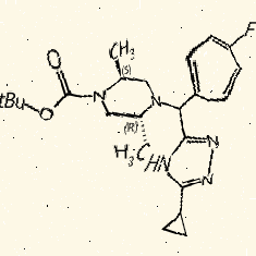 C[C@@H]1CN(C(=O)OC(C)(C)C)[C@@H](C)CN1C(c1ccc(F)cc1)c1nnc(C2CC2)[nH]1